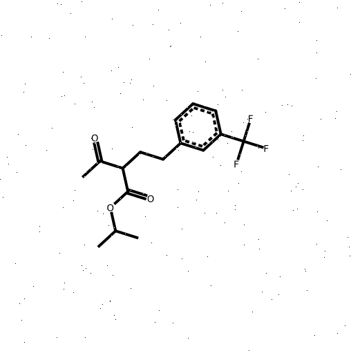 CC(=O)C(CCc1cccc(C(F)(F)F)c1)C(=O)OC(C)C